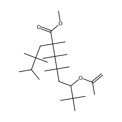 C=C(C)OC(CC(C)(C)C(C)(C)C(C)(CC(C)(C)C(C)C)C(=O)OC)C(C)(C)C